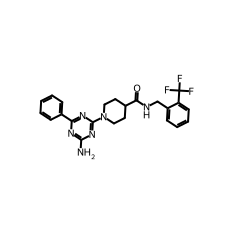 Nc1nc(-c2ccccc2)nc(N2CCC(C(=O)NCc3ccccc3C(F)(F)F)CC2)n1